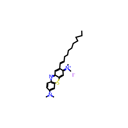 CCCCCCCCCC=Cc1cc2nc3ccc(N(C)C)cc3sc-2cc1=[N+](C)C.[I-]